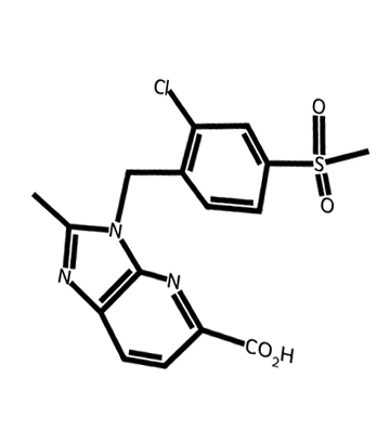 Cc1nc2ccc(C(=O)O)nc2n1Cc1ccc(S(C)(=O)=O)cc1Cl